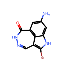 Nc1cc2c3c(c(Br)[nH]c3c1)C=NNC2=O